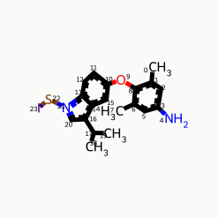 Cc1cc(N)cc(C)c1Oc1ccc2c(c1)c(C(C)C)cn2SI